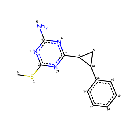 CSc1nc(N)nc(C2CC2c2ccccc2)n1